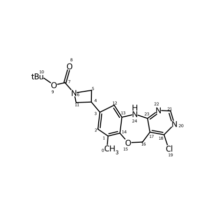 Cc1cc(C2CN(C(=O)OC(C)(C)C)C2)cc2c1OCc1c(Cl)ncnc1N2